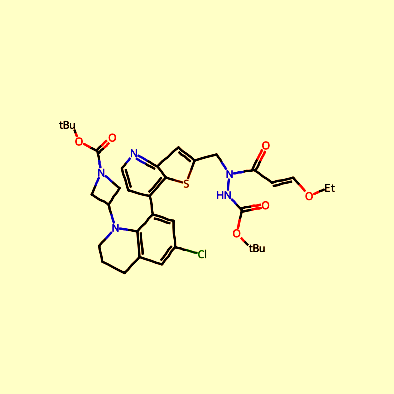 CCO/C=C/C(=O)N(Cc1cc2nccc(-c3cc(Cl)cc4c3N(C3CN(C(=O)OC(C)(C)C)C3)CCC4)c2s1)NC(=O)OC(C)(C)C